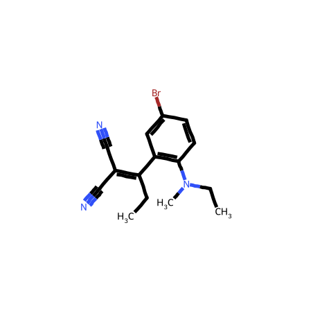 CCC(=C(C#N)C#N)c1cc(Br)ccc1N(C)CC